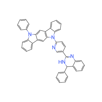 c1ccc(C2NC(c3ccc(-n4c5ccccc5c5cc6c(cc54)c4ccccc4n6-c4ccccc4)nc3)=Nc3ccccc32)cc1